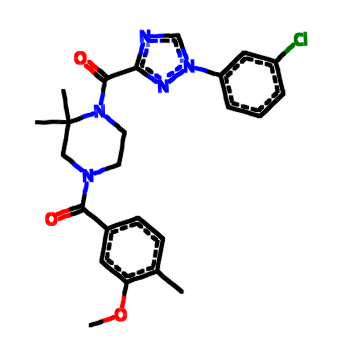 COc1cc(C(=O)N2CCN(C(=O)c3ncn(-c4cccc(Cl)c4)n3)C(C)(C)C2)ccc1C